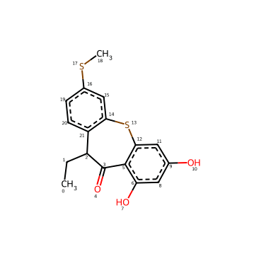 CCC1C(=O)c2c(O)cc(O)cc2Sc2cc(SC)ccc21